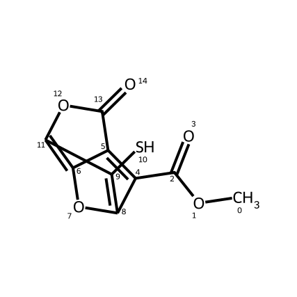 COC(=O)c1c2c3oc1c(S)c3OC2=O